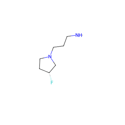 [NH]CCCN1CC[C@@H](F)C1